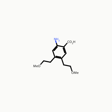 COCCc1cc(N)c(C(=O)O)cc1CCOC